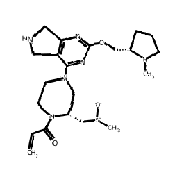 C=CC(=O)N1CCN(c2nc(OC[C@@H]3CCCN3C)nc3c2CNC3)C[C@@H]1C[S+](C)[O-]